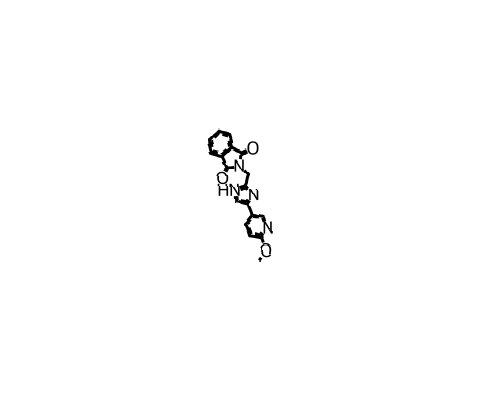 COc1ccc(-c2c[nH]c(CN3C(=O)c4ccccc4C3=O)n2)cn1